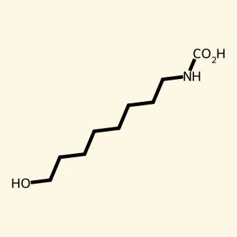 O=C(O)NCCCCCCCCO